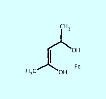 C/C(O)=C/C(C)O.[Fe]